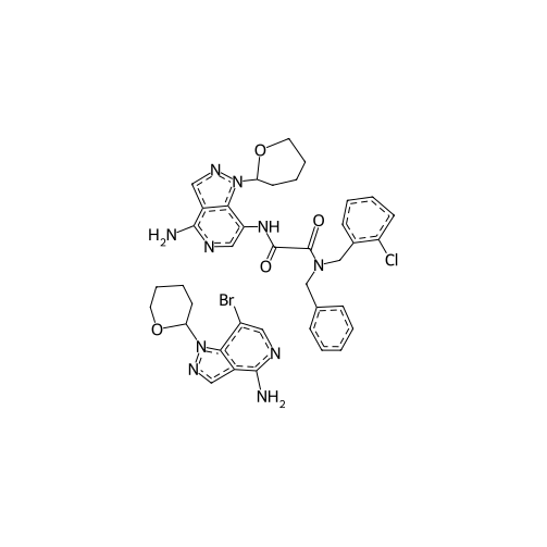 Nc1ncc(Br)c2c1cnn2C1CCCCO1.Nc1ncc(NC(=O)C(=O)N(Cc2ccccc2)Cc2ccccc2Cl)c2c1cnn2C1CCCCO1